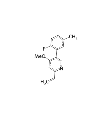 C=Cc1cc(OC)c(-c2cc(C)ccc2F)cn1